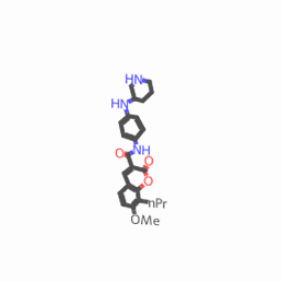 CCCc1c(OC)ccc2cc(C(=O)Nc3ccc(NC4CCCNC4)cc3)c(=O)oc12